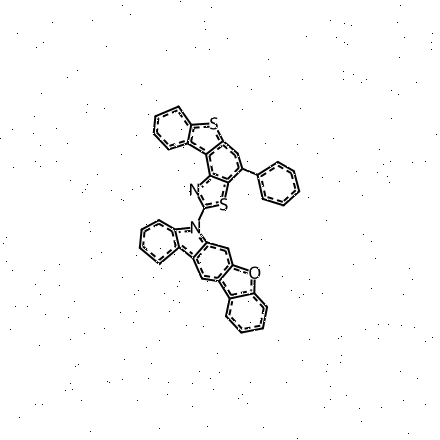 c1ccc(-c2cc3sc4ccccc4c3c3nc(-n4c5ccccc5c5cc6c(cc54)oc4ccccc46)sc23)cc1